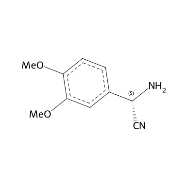 COc1ccc([C@H](N)C#N)cc1OC